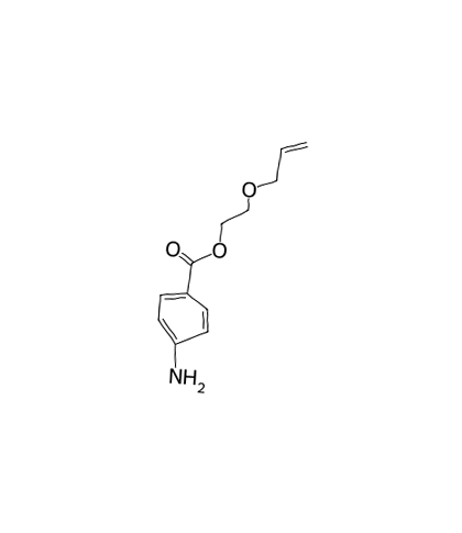 C=CCOCCOC(=O)c1ccc(N)cc1